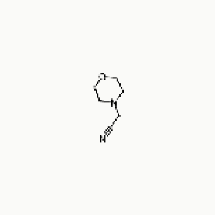 N#CCN1CCOCC1